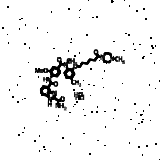 COc1cc(C(=O)N(C)c2ccc(C)cc2OCCCCCC(=O)N2CCN(C)CC2)ccc1NC(=O)c1cccc2[nH]c(C(N)=O)nc12.Cl.Cl